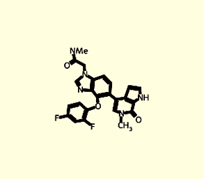 CNC(=O)Cn1cnc2c(Oc3ccc(F)cc3F)c(-c3cn(C)c(=O)c4[nH]ccc34)ccc21